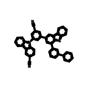 N#Cc1cc(-c2cc(-c3cccc(-c4ccccc4)c3)c3sc4ccccc4c3c2)cc(-n2c3ccccc3c3cc(C#N)ccc32)c1